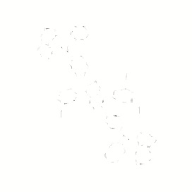 Cc1ccc(N(c2ccc3c(c2)C(C)(C)c2cc4c(-c5cc(F)cc(F)c5)c5c(cc4c(-c4cc(F)cc(F)c4)c2-3)C(C)(C)c2cc(N(c3ccc(C)cc3)c3cccc4ccccc34)ccc2-5)c2cccc3ccccc23)cc1